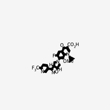 COc1c(N2C[C@@H]3ON=C(c4ccc(C(F)(F)F)nc4)[C@@H]3C2)c(F)cc2c(=O)c(C(=O)O)cn(C3CC3)c12